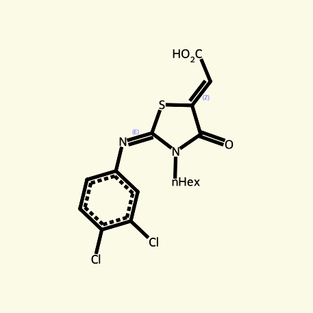 CCCCCCN1C(=O)/C(=C/C(=O)O)S/C1=N/c1ccc(Cl)c(Cl)c1